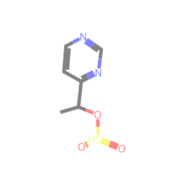 CC(O[SH](=O)=O)c1ccncn1